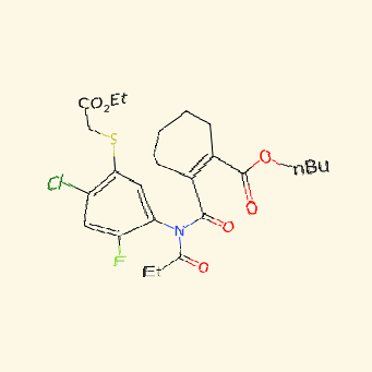 CCCCOC(=O)C1=C(C(=O)N(C(=O)CC)c2cc(SCC(=O)OCC)c(Cl)cc2F)CCCC1